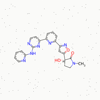 CN1CC[C@@](O)(c2cc(-c3cccc(-c4ccnc(Nc5ccccn5)n4)n3)no2)C1=O